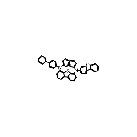 c1ccc(-c2ccc(N(c3ccccc3)c3cccc4c3sc3c(N(c5ccccc5)c5ccc6c(c5)oc5ccccc56)cccc34)cc2)cc1